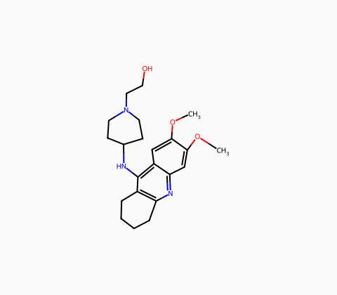 COc1cc2nc3c(c(NC4CCN(CCO)CC4)c2cc1OC)CCCC3